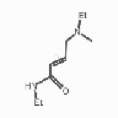 CCNC(=O)/C=C/CN(C)CC